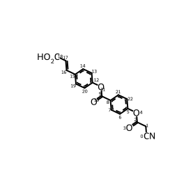 N#CCC(=O)Oc1ccc(C(=O)Oc2ccc(/C=C/C(=O)O)cc2)cc1